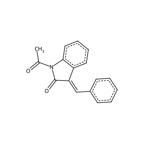 CC(=O)N1C(=O)/C(=C/c2ccccc2)c2ccccc21